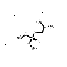 C[C@@H](N)COP(=O)(OC(C)(C)C)OC(C)(C)C